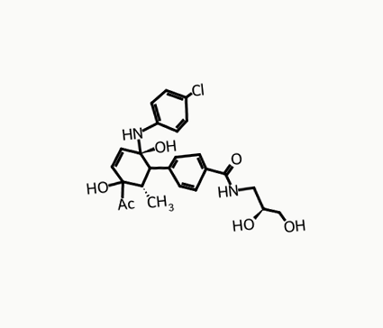 CC(=O)C1(O)C=C[C@](O)(Nc2ccc(Cl)cc2)C(c2ccc(C(=O)NC[C@H](O)CO)cc2)[C@@H]1C